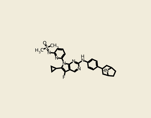 CS(C)(=O)=Nc1cccc(-n2c(C3CC3)c(F)c3cnc(Nc4ccc(C5CC6CCC(C5)N6)cc4)nc32)n1